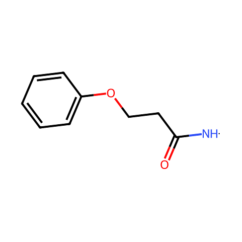 [NH]C(=O)CCOc1ccccc1